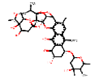 COc1c2c(c(O)c3c4c(c(C)cc13)C1OC3(C(OC)OC)OC1[C@@](OC1CC(O)C(O)([C@@H](C)O)C(C)O1)(O4)[C@@]31CO1)C(=O)[C@@H](O)C[C@@H]2OC1CC(C)(O)C(OC(C)=O)C(C)O1